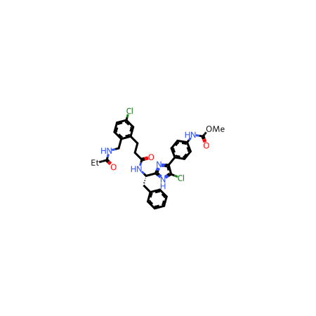 CCC(=O)NCc1ccc(Cl)cc1CCC(=O)N[C@@H](Cc1ccccc1)c1nc(-c2ccc(NC(=O)OC)cc2)c(Cl)[nH]1